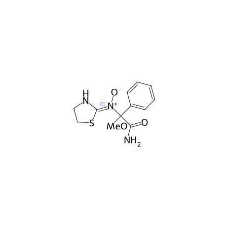 COC(C(N)=O)(c1ccccc1)/[N+]([O-])=C1/NCCS1